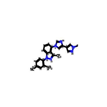 Cn1cc(-c2cn(-c3cccc4c3c(C(F)(F)F)nn4-c3ccc(C#N)cc3[N+](=O)[O-])cn2)cn1